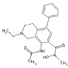 CCN1CCc2c(-c3ccccc3)cc(C(=O)N(C)O)c(NC(C)=O)c2C1